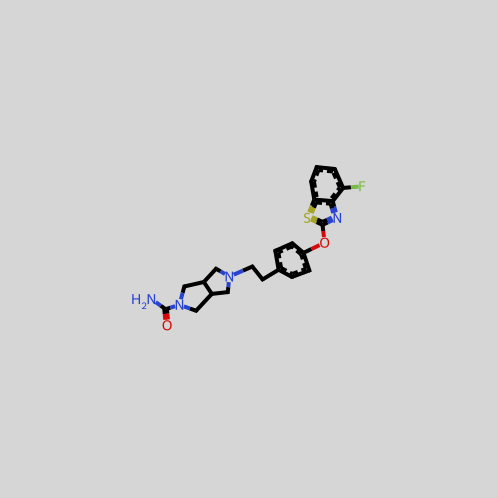 NC(=O)N1CC2CN(CCc3ccc(Oc4nc5c(F)cccc5s4)cc3)CC2C1